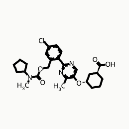 Cc1nc(-c2ccc(Cl)cc2COC(=O)N(C)C2CCCC2)ncc1O[C@H]1CCC[C@H](C(=O)O)C1